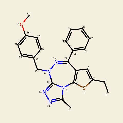 CCc1cc2c(s1)-n1c(C)nnc1N(Cc1ccc(OC)cc1)N=C2c1ccccc1